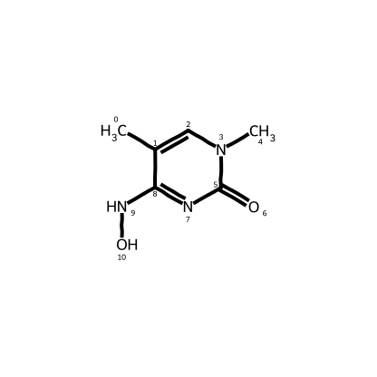 Cc1cn(C)c(=O)nc1NO